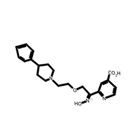 O=C(O)c1ccnc(/C(COCCN2CCC(c3ccccc3)CC2)=N/O)c1